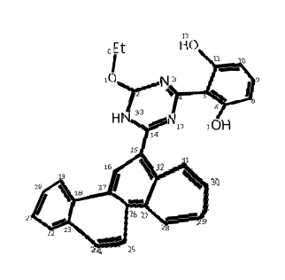 CCOC1N=C(c2c(O)cccc2O)N=C(c2cc3c4ccccc4ccc3c3ccccc23)N1